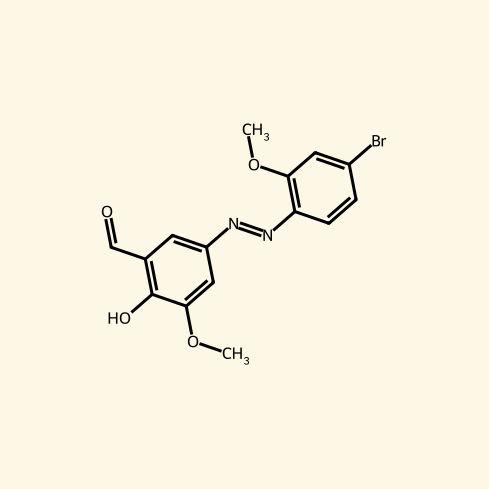 COc1cc(Br)ccc1/N=N/c1cc(C=O)c(O)c(OC)c1